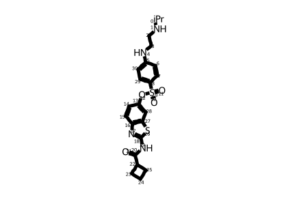 CC(C)NCCNc1ccc(S(=O)(=O)Oc2ccc3nc(NC(=O)C4CCC4)sc3c2)cc1